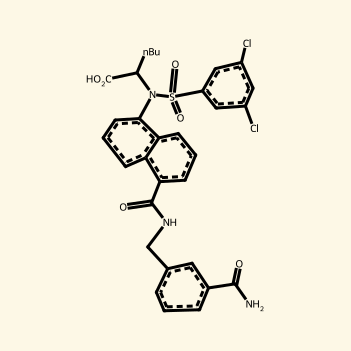 CCCCC(C(=O)O)N(c1cccc2c(C(=O)NCc3cccc(C(N)=O)c3)cccc12)S(=O)(=O)c1cc(Cl)cc(Cl)c1